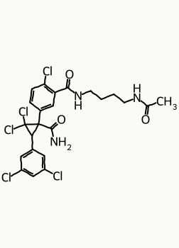 CC(=O)NCCCCNC(=O)c1cc(C2(C(N)=O)C(c3cc(Cl)cc(Cl)c3)C2(Cl)Cl)ccc1Cl